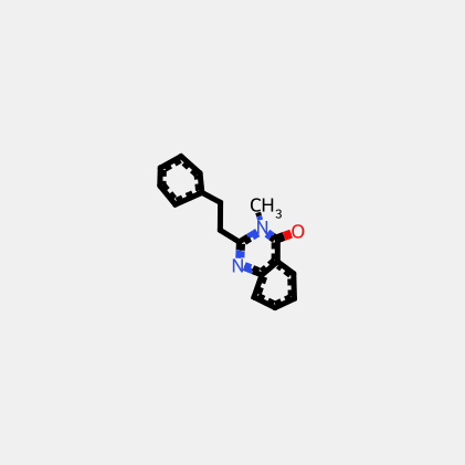 Cn1c(CCc2ccccc2)nc2ccccc2c1=O